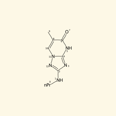 CCCNc1nc2[nH]c(=O)c(C)cn2n1